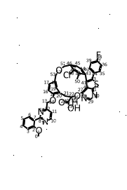 COc1ccccc1-c1nccc(COc2ccc3cc2C[C@H](C(=O)O)Oc2ncnc4sc(-c5ccc(F)cc5)c(c24)-c2ccc(c(Cl)c2C)COC3)n1